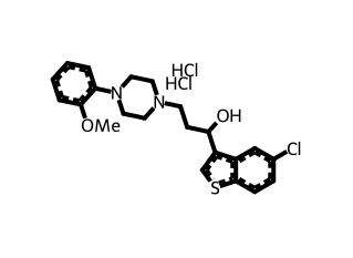 COc1ccccc1N1CCN(CCC(O)c2csc3ccc(Cl)cc23)CC1.Cl.Cl